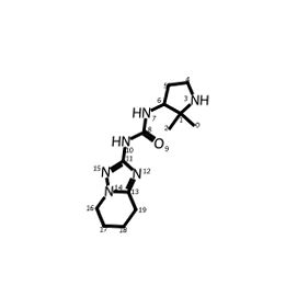 CC1(C)NCCC1NC(=O)Nc1nc2n(n1)CCCC2